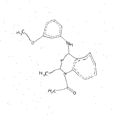 COc1cccc(NC2CC(C)N(C(C)=O)c3ccccc32)c1